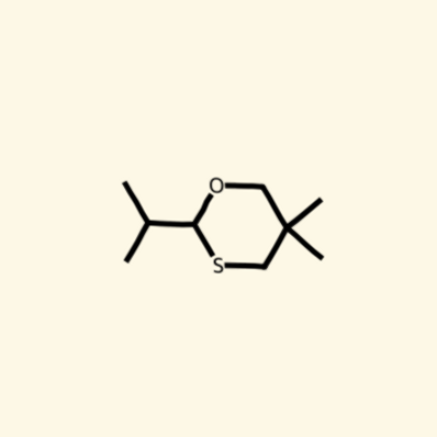 CC(C)C1OCC(C)(C)CS1